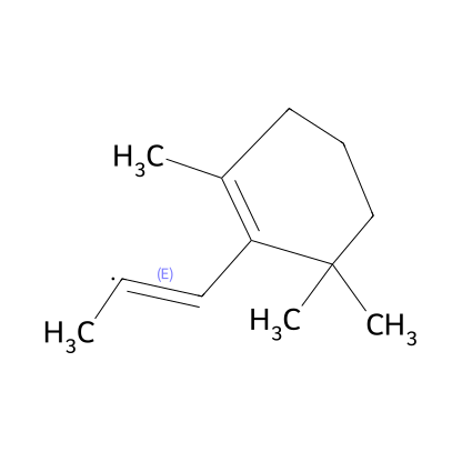 C/[C]=C/C1=C(C)CCCC1(C)C